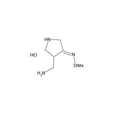 CO/N=C1/CNCC1CN.Cl